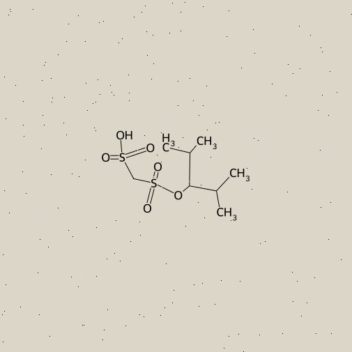 CC(C)C(OS(=O)(=O)CS(=O)(=O)O)C(C)C